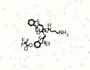 CCN1C(=Cc2c([O-])[c+](C=C3Sc4ccccc4N3CC)[c+]2NCCCN)Sc2ccccc21.O=C([O-])C(F)(F)F